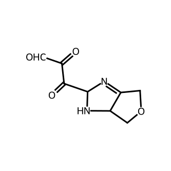 O=CC(=O)C(=O)C1N=C2COCC2N1